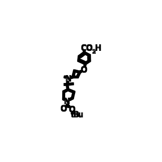 CN(C1CC(Oc2ccc(C(=O)O)cc2)C1)C(C)(C)C1CCN(C(=O)OC(C)(C)C)CC1